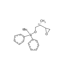 C[C@@H](CO[Si](c1ccccc1)(c1ccccc1)C(C)(C)C)C1CO1